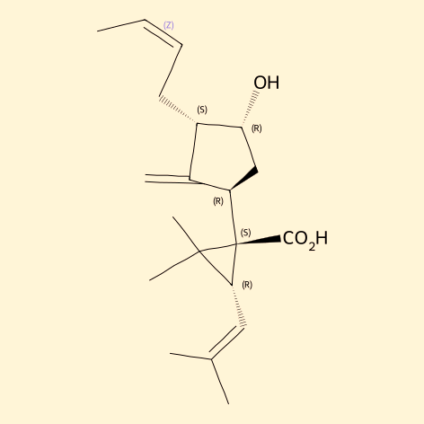 C=C1[C@H]([C@]2(C(=O)O)[C@H](C=C(C)C)C2(C)C)C[C@@H](O)[C@H]1C/C=C\C